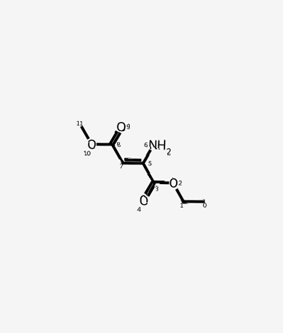 CCOC(=O)C(N)=CC(=O)OC